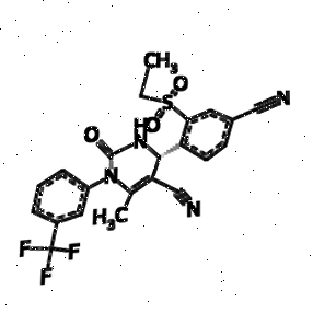 CCS(=O)(=O)c1cc(C#N)ccc1[C@H]1NC(=O)N(c2cccc(C(F)(F)F)c2)C(C)=C1C#N